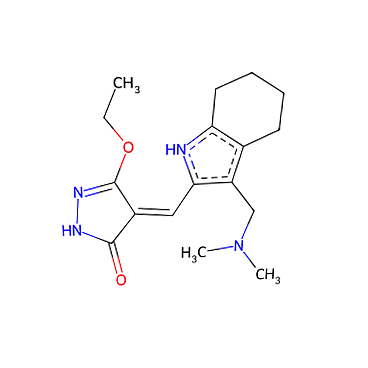 CCOC1=NNC(=O)C1=Cc1[nH]c2c(c1CN(C)C)CCCC2